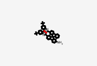 CC(C)(C)c1ccc(-c2nnc(-c3ccc4c(c3)C3(c5ccccc5-4)c4cc(N)ccc4-c4ccc(-c5nnc(-c6ccc(C(C)(C)C)cc6)o5)cc43)o2)cc1